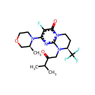 CC(C)C(=O)CN1c2nc(N3CCOC[C@@H]3C)c(F)c(=O)n2CC[C@H]1C(F)(F)F